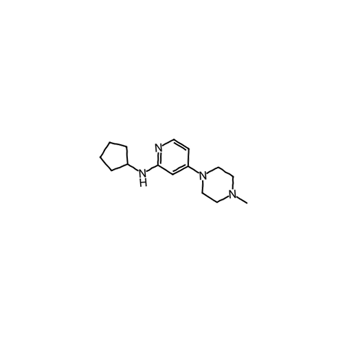 CN1CCN(c2ccnc(NC3CCCC3)c2)CC1